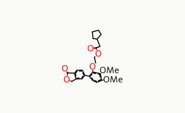 COc1ccc(-c2ccc3c(c2)COC3=O)c(OCCOC(=O)CC2CCCC2)c1OC